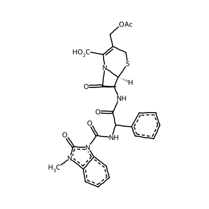 CC(=O)OCC1=C(C(=O)O)N2C(=O)C(NC(=O)C(NC(=O)n3c(=O)n(C)c4ccccc43)c3ccccc3)[C@@H]2SC1